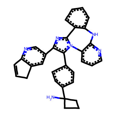 NC1(c2ccc(-c3c(-c4cnc5c(c4)CC=C5)nc4n3-c3cccnc3Nc3ccccc3-4)cc2)CCC1